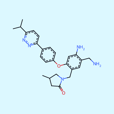 CC1CC(=O)N(Cc2cc(CN)c(N)cc2Oc2ccc(-c3ccc(C(C)C)nn3)cc2)C1